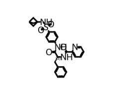 O=C(N[C@@H](Cc1ccccc1)C(=O)Nc1ccc(S(=O)(=O)NC23CC(C2)C3)cc1)c1ccccn1